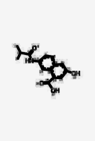 CC(C)C(=O)Nc1ccc2cc(O)cc(C(=O)O)c2c1